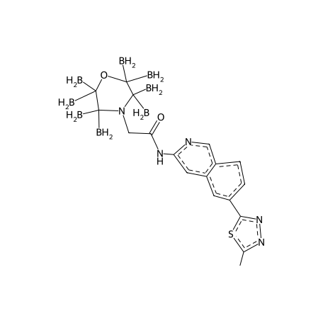 BC1(B)OC(B)(B)C(B)(B)N(CC(=O)Nc2cc3cc(-c4nnc(C)s4)ccc3cn2)C1(B)B